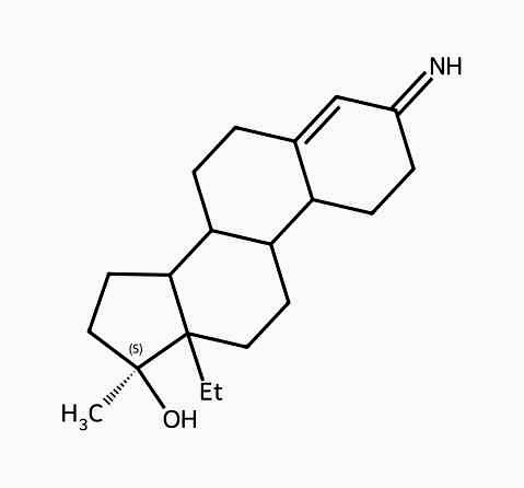 CCC12CCC3C4CCC(=N)C=C4CCC3C1CC[C@]2(C)O